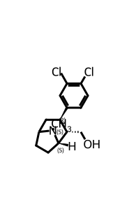 CN1C2CC[C@H]1[C@@H](CO)[C@H](c1ccc(Cl)c(Cl)c1)C2